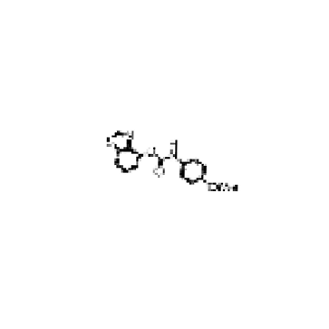 COc1ccc(NC(=O)Oc2cccc3scnc23)cc1